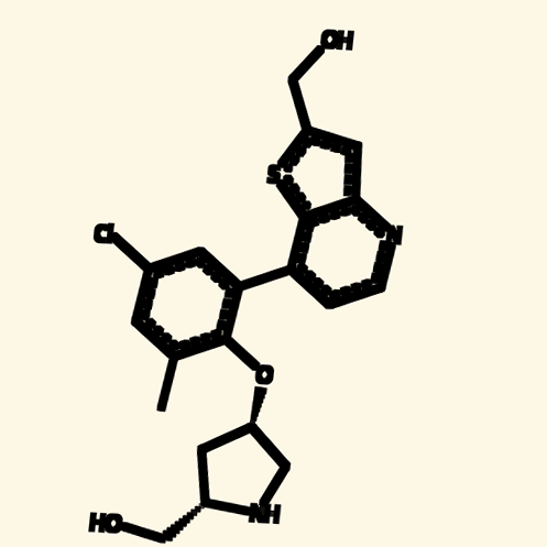 Cc1cc(Cl)cc(-c2ccnc3cc(CO)sc23)c1O[C@@H]1CN[C@H](CO)C1